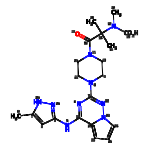 Cc1cc(Nc2nc(N3CCN(C(=O)C(C)(C)N(C)C(=O)O)CC3)nn3cccc23)n[nH]1